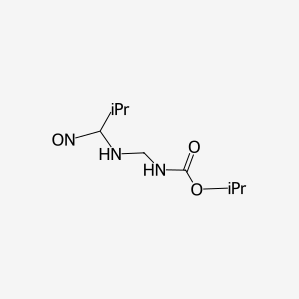 CC(C)OC(=O)NCNC(N=O)C(C)C